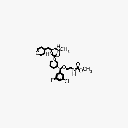 CNC[C@H](CC1CCOCC1)NC(=O)N1CCC[C@@H](C(OCCNC(=O)OC)c2cc(F)cc(Cl)c2)C1